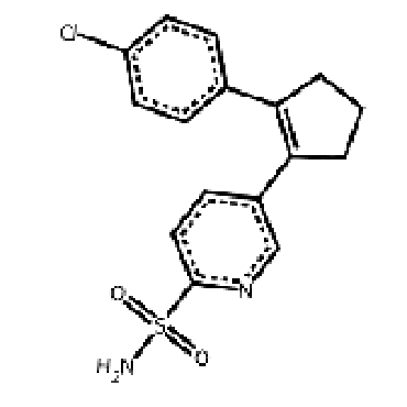 NS(=O)(=O)c1ccc(C2=C(c3ccc(Cl)cc3)CCC2)cn1